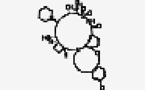 C[C@@H]1[C@@H](C)C[C@H](N2CCCCC2)C[C@@H](O)[C@@H]2CC[C@H]2CN2CCCCc3cc(Cl)ccc3COc3ccc(cc32)C(=O)NS1(=O)=O